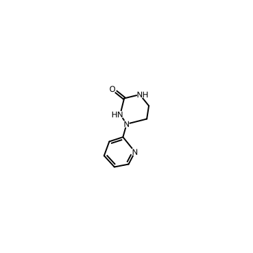 O=C1NCCN(c2ccccn2)N1